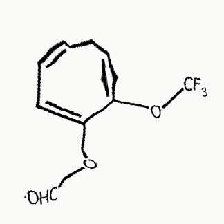 O=[C]Oc1ccccc1OC(F)(F)F